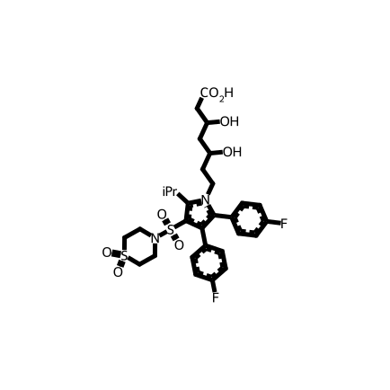 CC(C)c1c(S(=O)(=O)N2CCS(=O)(=O)CC2)c(-c2ccc(F)cc2)c(-c2ccc(F)cc2)n1CCC(O)CC(O)CC(=O)O